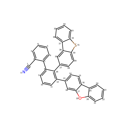 N#Cc1ccccc1-c1cccc(-c2ccc3c(c2)oc2ccccc23)c1-c1ccc2sc3ccccc3c2c1